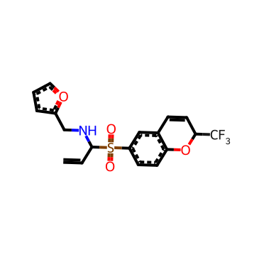 C=CC(NCc1ccco1)S(=O)(=O)c1ccc2c(c1)C=CC(C(F)(F)F)O2